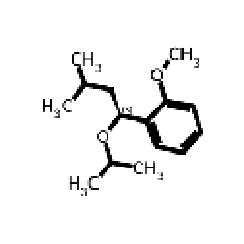 COc1ccccc1[C@H](CC(C)C)OC(C)C